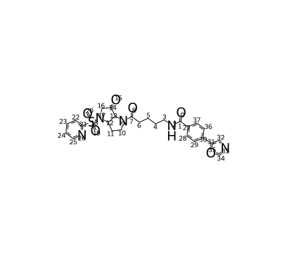 O=C(NCCCCC(=O)N1CCC2C1C(=O)CN2S(=O)(=O)c1ccccn1)c1ccc(-c2cnco2)cc1